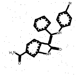 NC(=O)c1ccc2c(c1)NC(=O)/C2=C(\Nc1ccc(Br)cc1)c1ccccc1